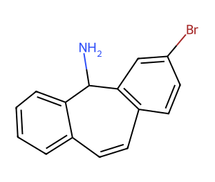 NC1c2ccccc2C=Cc2ccc(Br)cc21